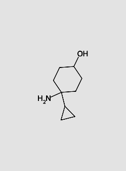 NC1(C2CC2)CCC(O)CC1